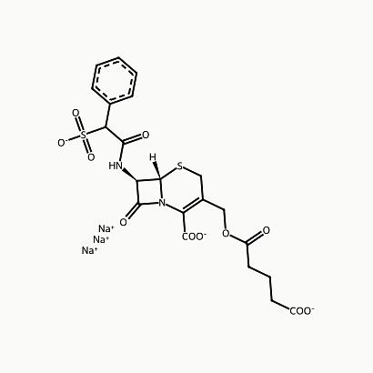 O=C([O-])CCCC(=O)OCC1=C(C(=O)[O-])N2C(=O)[C@@H](NC(=O)C(c3ccccc3)S(=O)(=O)[O-])[C@@H]2SC1.[Na+].[Na+].[Na+]